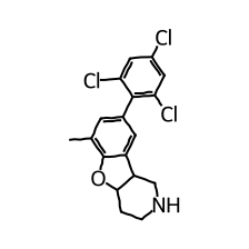 Cc1cc(-c2c(Cl)cc(Cl)cc2Cl)cc2c1OC1CCNCC21